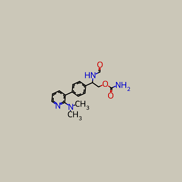 CN(C)c1ncccc1-c1ccc(C(COC(N)=O)NC=O)cc1